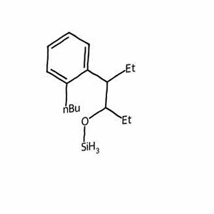 CCCCc1ccccc1C(CC)C(CC)O[SiH3]